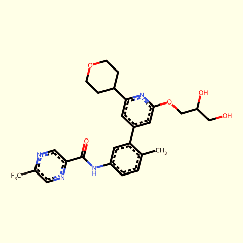 Cc1ccc(NC(=O)c2cnc(C(F)(F)F)cn2)cc1-c1cc(OCC(O)CO)nc(C2CCOCC2)c1